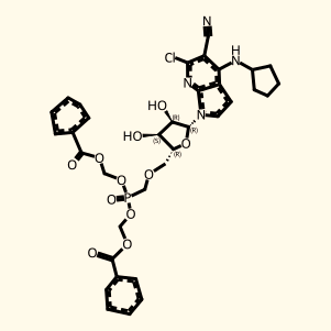 N#Cc1c(Cl)nc2c(ccn2[C@@H]2O[C@H](COCP(=O)(OCOC(=O)c3ccccc3)OCOC(=O)c3ccccc3)[C@@H](O)[C@H]2O)c1NC1CCCC1